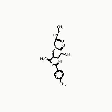 C=C(SC(=N)c1ccc(C)nc1)/C(CCC)=N/N(C=O)CC(=O)NCC